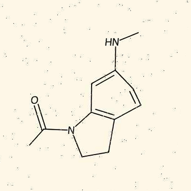 CNc1ccc2c(c1)N(C(C)=O)CC2